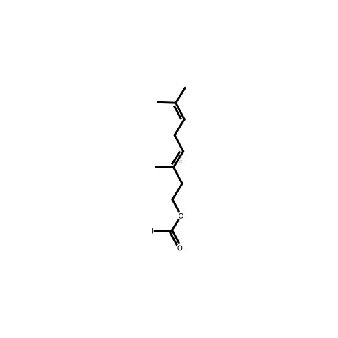 CC(C)=CC/C=C(\C)CCOC(=O)I